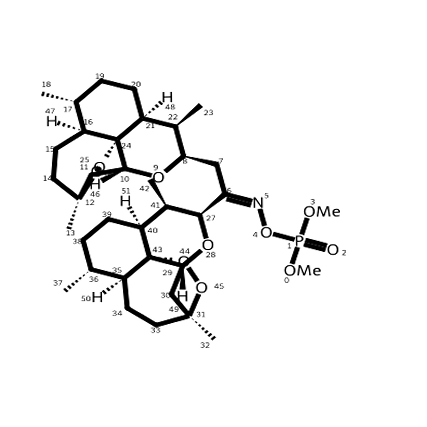 COP(=O)(OC)O/N=C(/C[C@H]1O[C@@H]2C[C@]3(C)CC[C@H]4[C@H](C)CC[C@@H]([C@H]1C)[C@@]24OO3)[C@H]1O[C@@H]2C[C@]3(C)CC[C@H]4[C@H](C)CC[C@@H]([C@H]1C)[C@@]24OO3